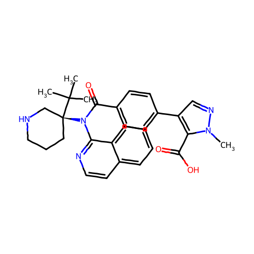 Cn1ncc(-c2ccc(C(=O)N(c3nccc4ccccc34)[C@@]3(C(C)(C)C)CCCNC3)cc2)c1C(=O)O